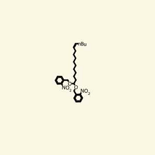 CCCC/C=C\CCCCCCCCCC(OCc1ccccc1[N+](=O)[O-])OCc1ccccc1[N+](=O)[O-]